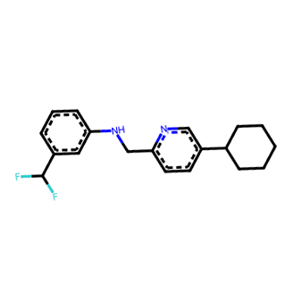 FC(F)c1cccc(NCc2ccc(C3CCCCC3)cn2)c1